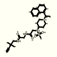 C#CC(C)(C)CNC(=O)CNC(=O)CN(C1CCN(C(C)c2cccc3ccccc23)CC1)S(C)(=O)=O